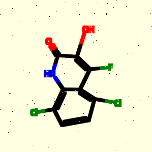 O=c1[nH]c2c(Cl)ccc(Cl)c2c(F)c1O